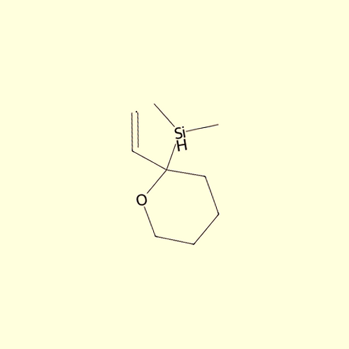 [CH]=CC1([SiH](C)C)CCCCO1